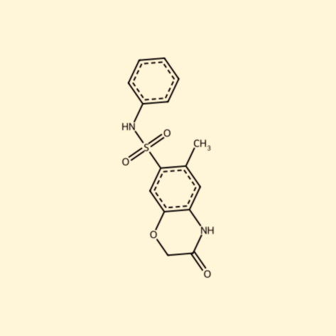 Cc1cc2c(cc1S(=O)(=O)Nc1ccccc1)OCC(=O)N2